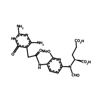 COc1nc(N(C=O)[C@@H](CCC(=O)O)C(=O)O)ccc1NC(=O)Cc1c(N)nc(N)[nH]c1=O